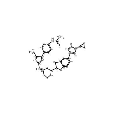 CC(=O)Nc1ccc(-c2nc(NC3CCCC(C4Cc5ccc(-c6csc(C7CC7)n6)cc5C4)C3)sc2C)cc1